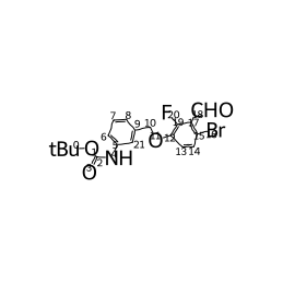 CC(C)(C)OC(=O)Nc1cccc(COc2ccc(Br)c(C=O)c2F)c1